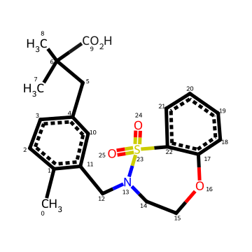 Cc1ccc(CC(C)(C)C(=O)O)cc1CN1CCOc2ccccc2S1(=O)=O